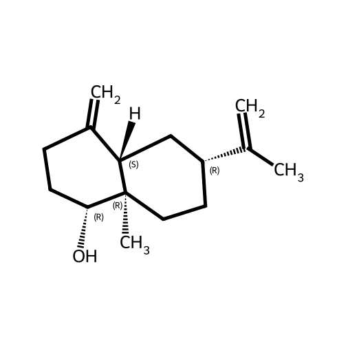 C=C(C)[C@@H]1CC[C@@]2(C)[C@H](O)CCC(=C)[C@@H]2C1